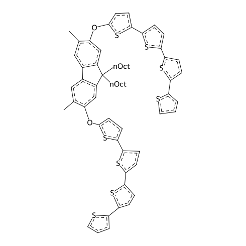 CCCCCCCCC1(CCCCCCCC)c2cc(Oc3ccc(-c4ccc(-c5ccc(-c6cccs6)s5)s4)s3)c(C)cc2-c2cc(C)c(Oc3ccc(-c4ccc(-c5ccc(-c6cccs6)s5)s4)s3)cc21